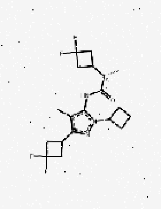 Cc1c(C2CC(F)(F)C2)nn(C2CCC2)c1NC(=O)[C@@H](C)C1CC(F)(F)C1